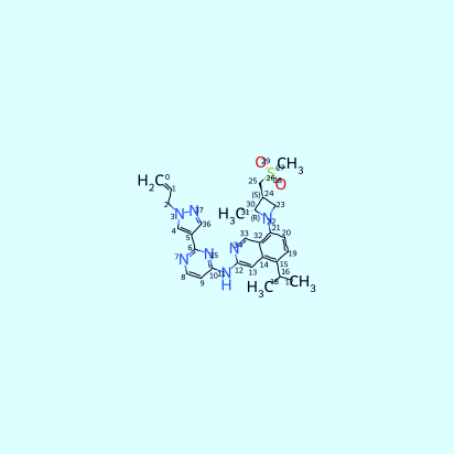 C=CCn1cc(-c2nccc(Nc3cc4c(C(C)C)ccc(N5C[C@H](CS(C)(=O)=O)[C@H]5C)c4cn3)n2)cn1